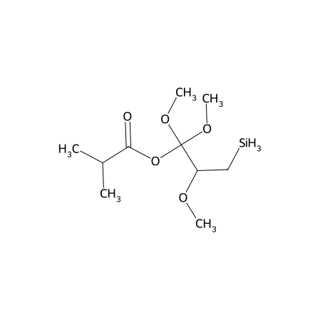 COC(C[SiH3])C(OC)(OC)OC(=O)C(C)C